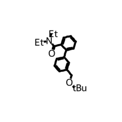 CCN(CC)C(=O)c1ccccc1-c1cccc(COC(C)(C)C)c1